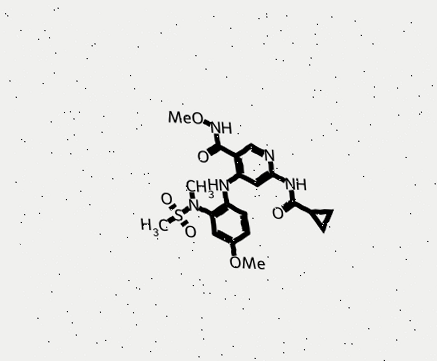 CONC(=O)c1cnc(NC(=O)C2CC2)cc1Nc1ccc(OC)cc1N(C)S(C)(=O)=O